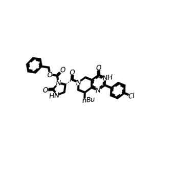 CCCCC1CN(C(=O)[C@@H]2CNC(=O)N2C(=O)OCc2ccccc2)Cc2c1nc(-c1ccc(Cl)cc1)[nH]c2=O